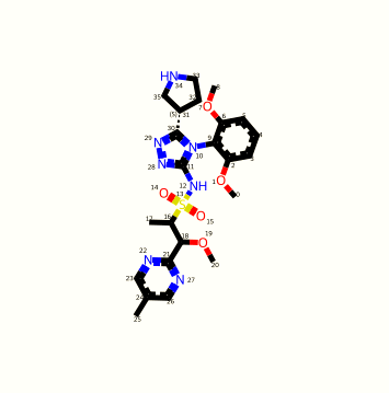 COc1cccc(OC)c1-n1c(NS(=O)(=O)C(C)C(OC)c2ncc(C)cn2)nnc1[C@H]1CCNC1